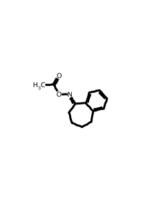 CC(=O)O/N=C1\CCCCc2ccccc21